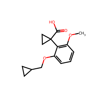 COc1cccc(OCC2CC2)c1C1(C(=O)O)CC1